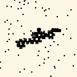 COc1cccc(-n2cc3c(=O)[nH]c4cc(OCCCN5CCOCC5)ccc4c3n2)c1